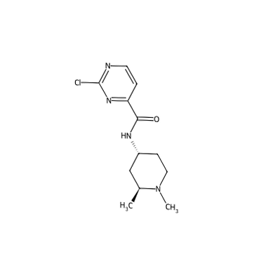 C[C@H]1C[C@H](NC(=O)c2ccnc(Cl)n2)CCN1C